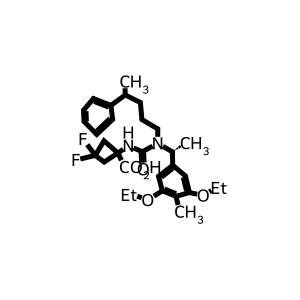 CCOc1cc([C@@H](C)N(CCCC(C)c2ccccc2)C(=O)NC2(C(=O)O)CC(F)(F)C2)cc(OCC)c1C